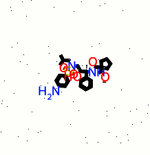 COCC1(C(=O)N[C@@](C)(c2ccccc2)[C@H](O)CN(CC(C)C)S(=O)(=O)c2ccc(N)cc2)CCCC1